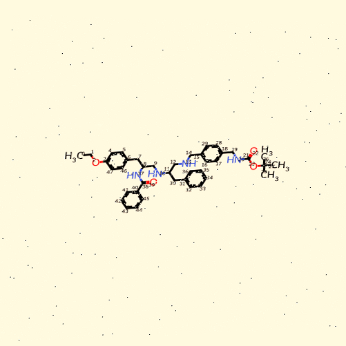 CCOc1ccc(CC(CNC(CNCc2ccc(CNC(=O)OC(C)(C)C)cc2)Cc2ccccc2)NC(=O)c2ccccc2)cc1